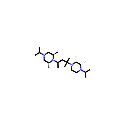 CC(C)N1C[C@@H](C)N(C(C)CC(C)(C)N2CCN(C(C)C)[C@@H](C)[C@H]2C)[C@@H](C)C1